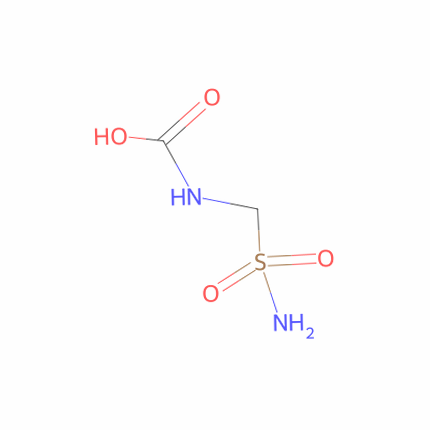 NS(=O)(=O)CNC(=O)O